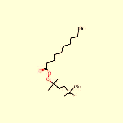 CC(C)(C)CCCCCCCCC(=O)OOC(C)(C)CC[Si](C)(C)C(C)(C)C